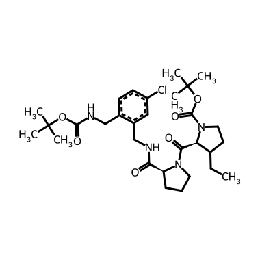 CCC1CCN(C(=O)OC(C)(C)C)[C@@H]1C(=O)N1CCC[C@H]1C(=O)NCc1cc(Cl)ccc1CNC(=O)OC(C)(C)C